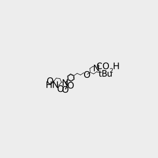 CC(C)(C)C1CC(OCCCc2ccc3c(c2)oc(=O)n3C2CCC(=O)NC2=O)CCN1C(=O)O